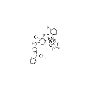 C[C@@H](c1ccccc1)N1CC[C@H](Nc2ccc(S(=O)(=O)N(OC(=O)C(F)(F)F)c3cccc(F)n3)c(F)c2Cl)C1